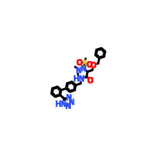 CN(C)N(C(COCc1ccccc1)C(=O)NCc1ccc(-c2ccccc2-c2nnn[nH]2)cc1)S(C)(=O)=O